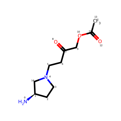 N[C@@H]1CCN(CCC(=O)COC(=O)C(F)(F)F)C1